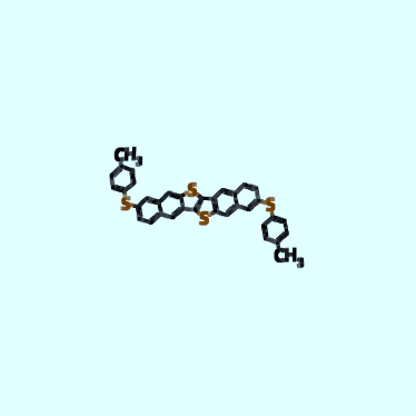 Cc1ccc(Sc2ccc3cc4c(cc3c2)sc2c3cc5ccc(Sc6ccc(C)cc6)cc5cc3sc42)cc1